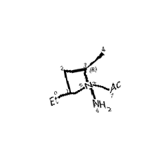 CCC1C[C@@H](C)[N+]1(N)C(C)=O